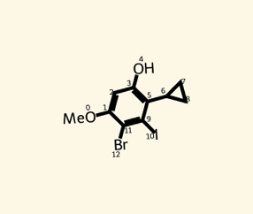 COc1cc(O)c(C2CC2)c(I)c1Br